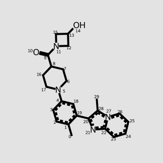 Cc1ccc(N2CCC(C(=O)N3CC(O)C3)CC2)cc1-c1nc2ccccn2c1C